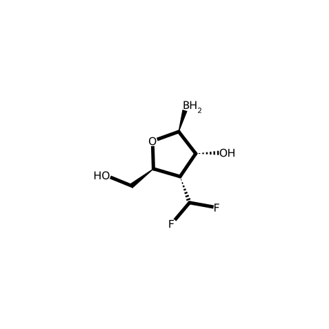 B[C@@H]1O[C@H](CO)[C@@H](C(F)F)[C@H]1O